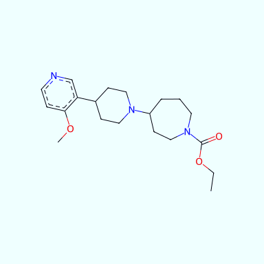 CCOC(=O)N1CCCC(N2CCC(c3cnccc3OC)CC2)CC1